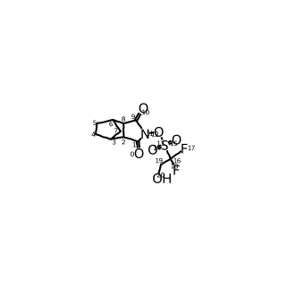 O=C1C2C3CCC(C3)C2C(=O)N1OS(=O)(=O)C(F)(F)CO